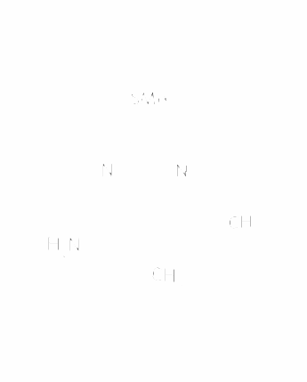 CSc1nc(C)c(C)c(N)n1